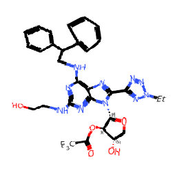 CCn1nnc(-c2nc3c(NCC(c4ccccc4)c4ccccc4)nc(NCCO)nc3n2[C@@H]2OC[C@H](O)[C@H]2OC(=O)C(F)(F)F)n1